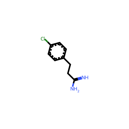 N=C(N)CCc1ccc(Cl)cc1